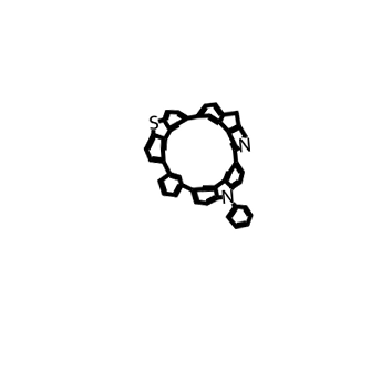 c1ccc(-n2c3ccc4cc3c3cc(ccc32)c2cc3c(cn2)Cc2ccc(cc23)c2ccc3sc5ccc(cc5c3c2)c2cccc4c2)cc1